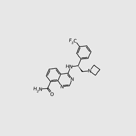 NC(=O)c1cccc2c(N[C@H](CN3CCC3)c3cccc(C(F)(F)F)c3)ncnc12